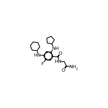 NC(=O)CNC(=O)c1cc(F)c(NC2CCCCC2)cc1NC1CCCC1